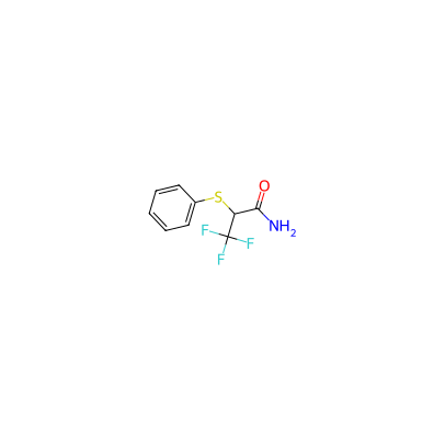 NC(=O)C(Sc1ccccc1)C(F)(F)F